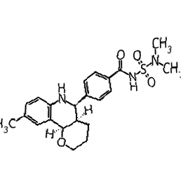 Cc1ccc2c(c1)[C@@H]1OCCC[C@@H]1[C@H](c1ccc(C(=O)NS(=O)(=O)N(C)C)cc1)N2